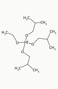 CC[O][Hf]([O]CC(C)C)([O]CC(C)C)[O]CC(C)C